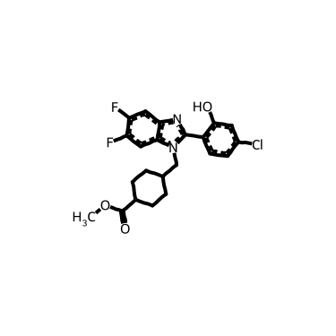 COC(=O)C1CCC(Cn2c(-c3ccc(Cl)cc3O)nc3cc(F)c(F)cc32)CC1